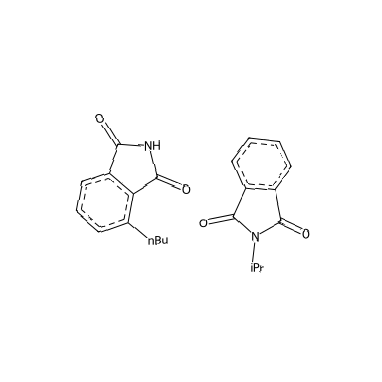 CC(C)N1C(=O)c2ccccc2C1=O.CCCCc1cccc2c1C(=O)NC2=O